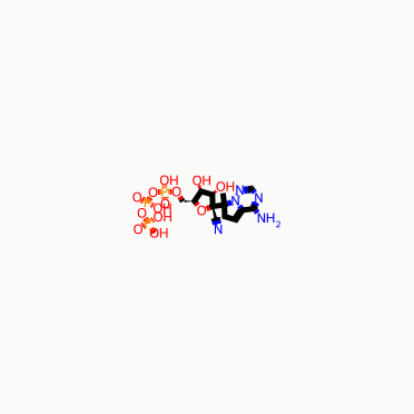 CC1([C@]2(C#N)O[C@H](COP(=O)(O)OP(=O)(O)OP(=O)(O)O)[C@@H](O)[C@H]2O)CC=C2C(N)=NC=NN21